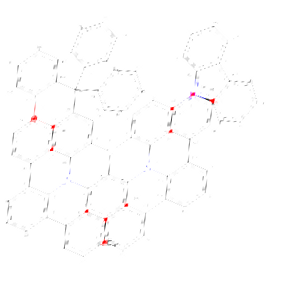 CC(C)(C)c1cc2c3c(c1)N(c1c(-c4ccccc4)cccc1-c1ccccc1)c1cc4c(cc1B3c1ccc(-n3c5ccccc5c5ccccc53)cc1N2c1c(-c2ccccc2)cccc1-c1ccccc1)C(c1ccccc1)(c1ccccc1)c1ccccc1O4